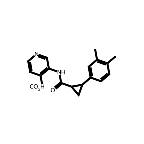 Cc1ccc(C2CC2C(=O)Nc2cnccc2C(=O)O)cc1C